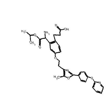 Cc1oc(-c2ccc(Oc3ccccn3)cc2)nc1CCOc1ccc(CCC(=O)O)c(C(N)C(=O)OC(C)C)c1